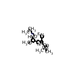 CCOP(=O)(OCC)OCn1cc(-c2ccnc(F)c2)c2cc(-c3cc(NC(=O)/C=C/CN(C)C)cc(OC)c3)cnc21